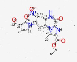 CCOC(=O)c1nc2c(=O)[nH]c3cc([N+](=O)[O-])c(-n4ccc(C=O)c4)cc3n2c1C